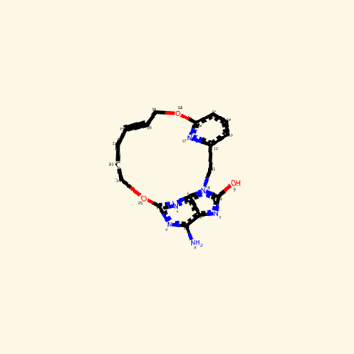 Nc1nc2nc3c1nc(O)n3Cc1cccc(n1)OC/C=C/CCCO2